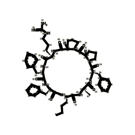 CCCC[C@@H]1NC(=O)[C@H](Cc2ccccc2)NC(=O)[C@H](Cc2ccccc2)NC(=O)[C@H](CCCNC(=N)N)NC(=O)[C@@H]2CCCN2C(=O)[C@H]2CCCN2C(=O)[C@H](Cc2ccccc2)NC(=O)[C@H](C)NC1=O